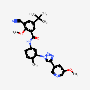 COc1cncc(-c2cn(-c3cc(NC(=O)c4cc(C(C)(C)C)cc(C#N)c4OC)ccc3C)nn2)c1